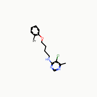 Cc1ncnc(NCCCCOc2ccccc2C(C)C)c1Cl